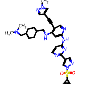 CN(C)CC1CCC(CNc2cc(Nc3ccnc(-c4cnn(S(=O)(=O)C5CC5)c4)n3)ncc2C#Cc2cnn(C)c2)CC1